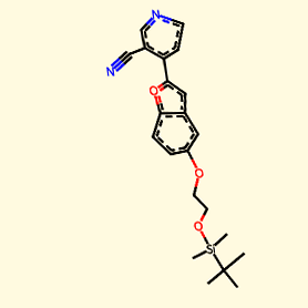 CC(C)(C)[Si](C)(C)OCCOc1ccc2oc(-c3ccncc3C#N)cc2c1